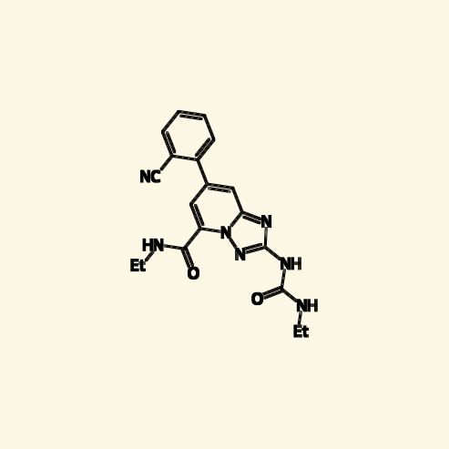 CCNC(=O)Nc1nc2cc(-c3ccccc3C#N)cc(C(=O)NCC)n2n1